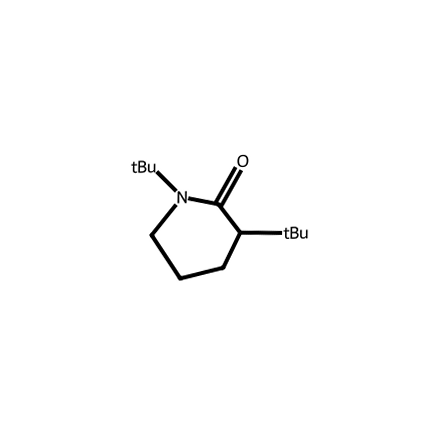 CC(C)(C)C1CCCN(C(C)(C)C)C1=O